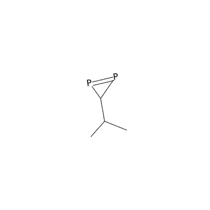 CC(C)C1P=P1